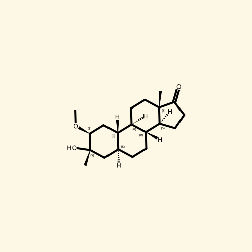 CO[C@H]1C[C@H]2[C@@H](CC[C@@H]3[C@@H]2CC[C@]2(C)C(=O)CC[C@@H]32)C[C@]1(C)O